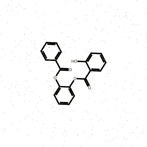 O=C(Oc1ccccc1OC(=O)c1ccccc1O)c1ccccc1